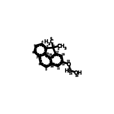 CC1(C)c2cccc3ccc4cc(OBO)cc1c4c23